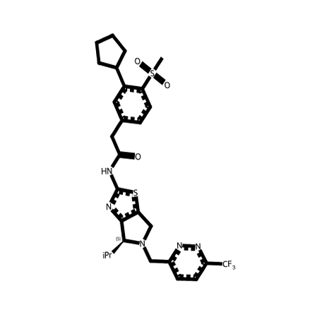 CC(C)[C@H]1c2nc(NC(=O)Cc3ccc(S(C)(=O)=O)c(C4CCCC4)c3)sc2CN1Cc1ccc(C(F)(F)F)nn1